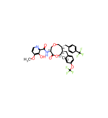 COc1ccnc(C(=O)N[C@H]2COC[C@H](Cc3ccc(C(F)(F)F)cc3)[C@@H](Cc3ccc(OC(F)(F)F)cc3)[C@H](C)OC2=O)c1O